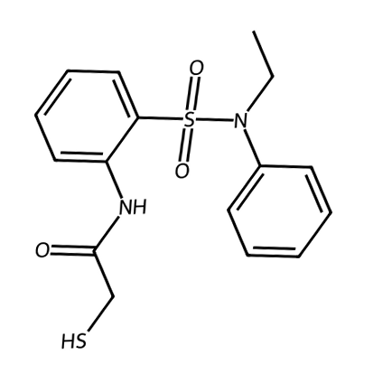 CCN(c1ccccc1)S(=O)(=O)c1ccccc1NC(=O)CS